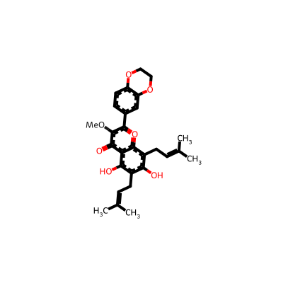 COc1c(-c2ccc3c(c2)OCCO3)oc2c(CC=C(C)C)c(O)c(CC=C(C)C)c(O)c2c1=O